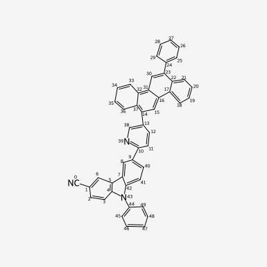 N#Cc1ccc2c(c1)c1cc(-c3ccc(-c4cc5c6ccccc6c(-c6ccccc6)cc5c5ccccc45)cn3)ccc1n2-c1ccccc1